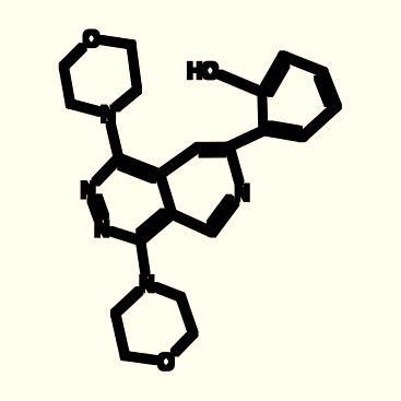 Oc1ccccc1-c1cc2c(N3CCOCC3)nnc(N3CCOCC3)c2cn1